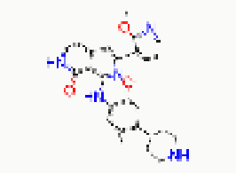 COc1cc(C2CCNCC2)c(C)cc1Nc1nc(-c2cccnc2OC)cc2cc[nH]c(=O)c12